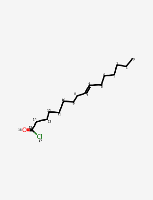 CCCCCCC=CCCCCCCCC(=O)Cl